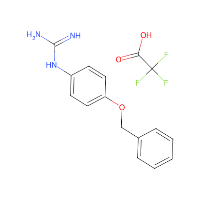 N=C(N)Nc1ccc(OCc2ccccc2)cc1.O=C(O)C(F)(F)F